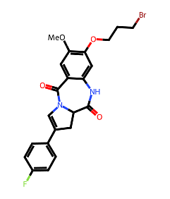 COc1cc2c(cc1OCCCBr)NC(=O)C1CC(c3ccc(F)cc3)=CN1C2=O